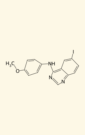 COc1ccc(Nc2ncnc3ccc(I)cc23)cc1